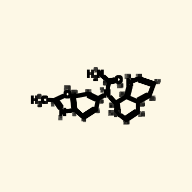 Cc1nc2ccc(N(C(N)=O)c3nccc4cccnc34)cc2o1